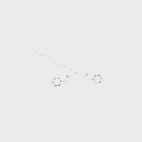 CCCCCCCCCCOCC(COC(=O)Cc1ccc(O)c(C)c1C)OC(=O)Cc1ccc(O)c(C)c1C